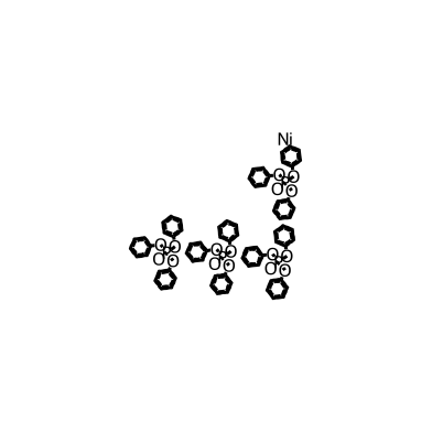 O=P(Oc1ccccc1)(Oc1ccccc1)Oc1ccccc1.O=P(Oc1ccccc1)(Oc1ccccc1)Oc1ccccc1.O=P(Oc1ccccc1)(Oc1ccccc1)Oc1ccccc1.O=P(Oc1ccccc1)(Oc1ccccc1)Oc1ccccc1.[Ni]